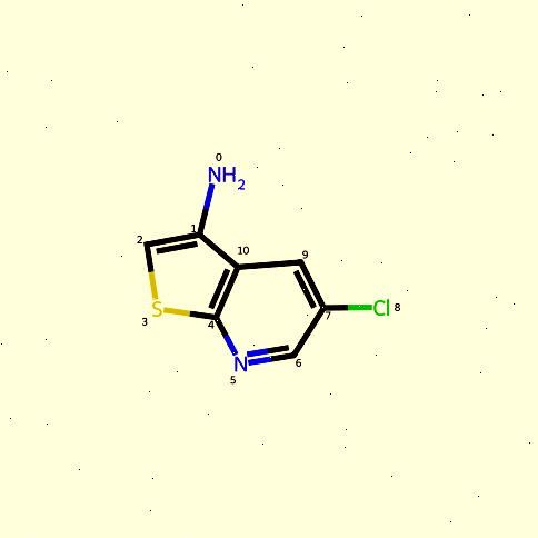 Nc1csc2ncc(Cl)cc12